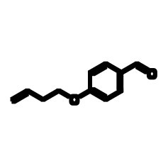 C=CCCOc1ccc(C=O)cc1